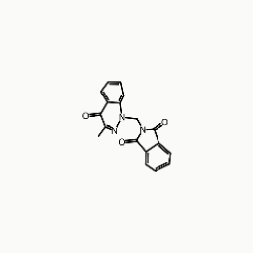 Cc1nn(CN2C(=O)c3ccccc3C2=O)c2ccccc2c1=O